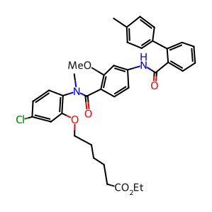 CCOC(=O)CCCCCOc1cc(Cl)ccc1N(C)C(=O)c1ccc(NC(=O)c2ccccc2-c2ccc(C)cc2)cc1OC